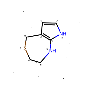 c1cc2c([nH]1)NCCSC2